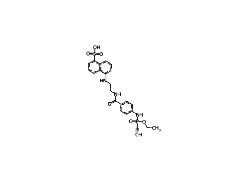 C#CP(=O)(Nc1ccc(C(=O)NCCNc2cccc3c(S(=O)(=O)O)cccc23)cc1)OCC